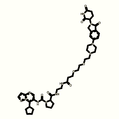 O=C(CCOCCOCCN1CCN(c2ccc3c(c2)CN(C2CCC(=O)NC2=O)C3=O)CC1)NCCNC(=O)C1CCCN1C(=O)Nc1cnc2ccnn2c1C1CCCC1